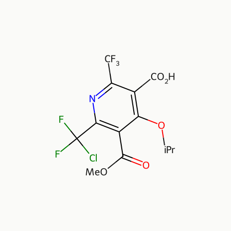 COC(=O)c1c(C(F)(F)Cl)nc(C(F)(F)F)c(C(=O)O)c1OC(C)C